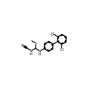 CSC(NC#N)Nc1ccc(-c2c(Cl)cccc2Cl)cc1